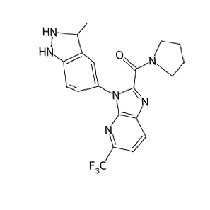 CC1NNc2ccc(-n3c(C(=O)N4CCCC4)nc4ccc(C(F)(F)F)nc43)cc21